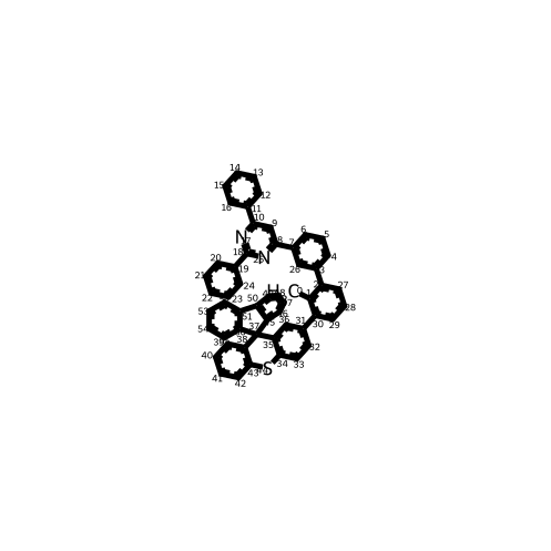 Cc1c(-c2cccc(-c3cc(-c4ccccc4)nc(-c4ccccc4)n3)c2)cccc1-c1ccc2c(c1)C1(c3ccccc3S2)c2ccccc2-c2ccccc21